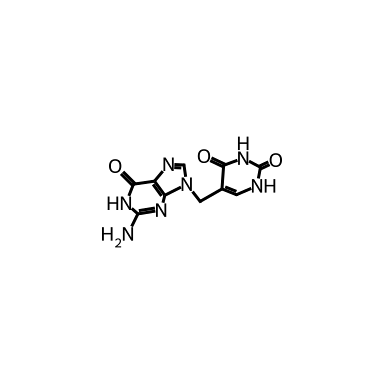 Nc1nc2c(ncn2Cc2c[nH]c(=O)[nH]c2=O)c(=O)[nH]1